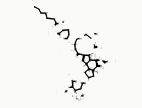 CCCCCCCC(=O)N(C)[C@H]1CC[C@H](O[C@H]2CCC[C@H](CC)OC(=O)C[C@@H]3C(=C[C@@H]4C3c3nc(C)sc3[C@@H]3C[C@@H](OC5OC(C)C(OC)C(OC)C5OC)C[C@@H]43)C(=O)[C@@H]2C)OC1C